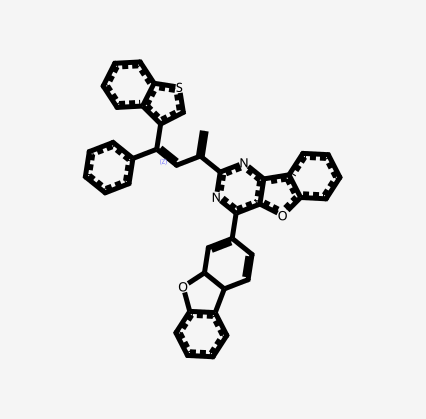 C=C(/C=C(/c1ccccc1)c1csc2ccccc12)c1nc(C2=CC3Oc4ccccc4C3C=C2)c2oc3ccccc3c2n1